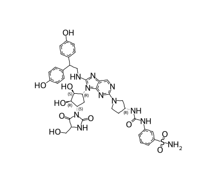 NS(=O)(=O)c1cccc(NC(=O)N[C@@H]2CCN(c3ncc4nc(NCC(c5ccc(O)cc5)c5ccc(O)cc5)n([C@@H]5C[C@H](N6C(=O)NC(CO)C6=O)[C@@H](O)[C@H]5O)c4n3)C2)c1